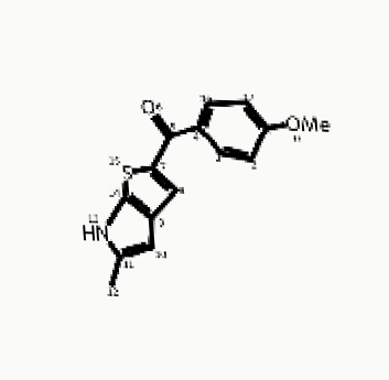 COc1ccc(C(=O)c2cc3cc(C)[nH]c3s2)cc1